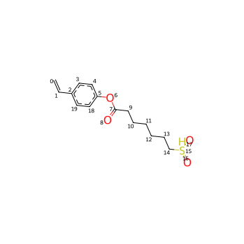 C=Cc1ccc(OC(=O)CCCCCC[SH](=O)=O)cc1